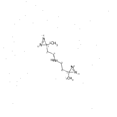 CC1(CCNCCC2(C)N=N2)N=N1